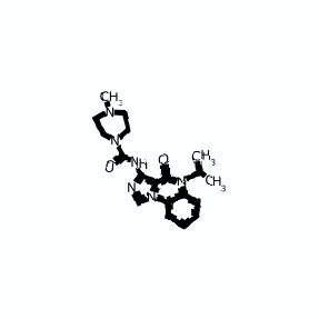 CC(C)n1c(=O)c2c(NC(=O)N3CCN(C)CC3)ncn2c2ccccc21